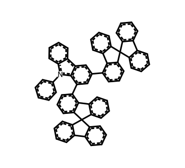 c1ccc(-n2c3ccccc3c3cc(-c4cccc5c4-c4ccccc4C54c5ccccc5-c5ccccc54)cc(-c4cccc5c4-c4ccccc4C54c5ccccc5-c5ccccc54)c32)cc1